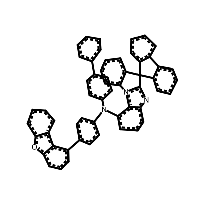 c1ccc(-c2ccc(N(c3ccc(-c4cccc5oc6ccccc6c45)cc3)c3cccc4nc5n(c34)-c3ccccc3C53c4ccccc4-c4ccccc43)cc2)cc1